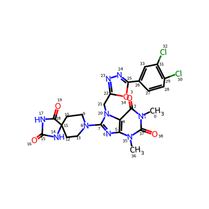 Cn1c(=O)c2c(nc(N3CCC4(CC3)NC(=O)NC4=O)n2Cc2nnc(-c3ccc(Cl)c(Cl)c3)o2)n(C)c1=O